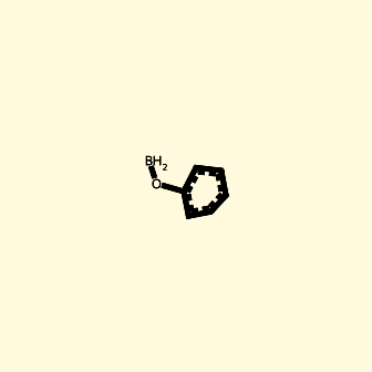 BOc1ccccc1